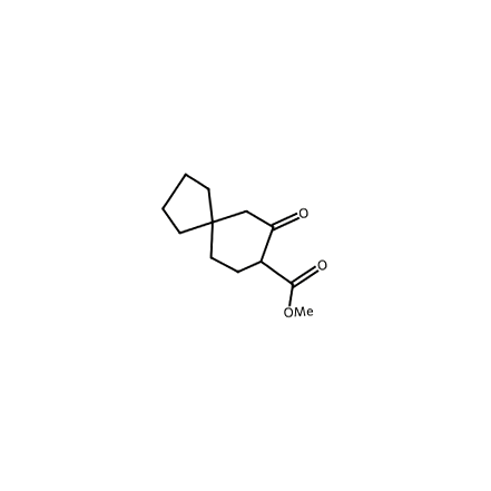 COC(=O)C1CCC2(CCCC2)CC1=O